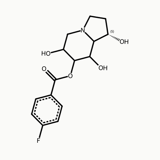 O=C(OC1C(O)CN2CC[C@H](O)C2C1O)c1ccc(F)cc1